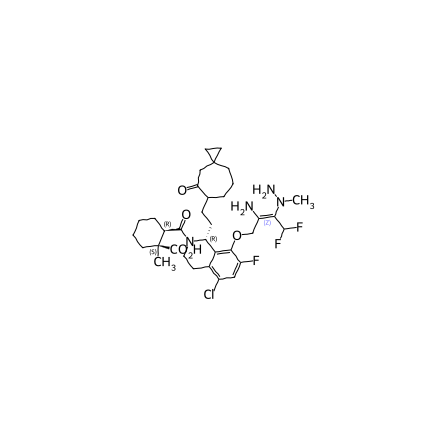 CN(N)/C(=C(\N)COc1c(F)cc(Cl)c2c1[C@@H](CCC1CCCC3(CC3)CC1=O)N(C(=O)[C@@H]1CCCC[C@]1(C)C(=O)O)CC2)C(F)F